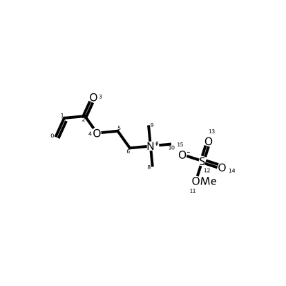 C=CC(=O)OCC[N+](C)(C)C.COS(=O)(=O)[O-]